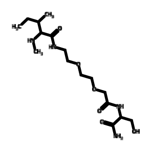 CCC(C)C(NC)C(=O)NCCOCCOCC(=O)NC(CO)C(N)=O